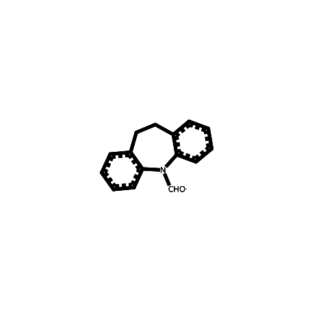 O=[C]N1c2ccccc2CCc2ccccc21